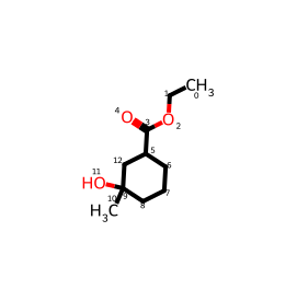 CCOC(=O)C1CCCC(C)(O)C1